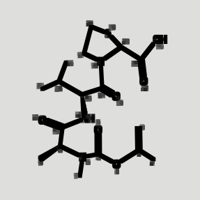 C=C(C)OC(=O)N(C)[C@@H](C)C(=O)N[C@H](C(=O)N1CCSC1C(=O)O)C(C)C